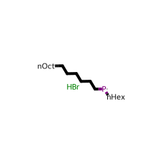 Br.CCCCCCCCCCCCCC[P]CCCCCC